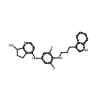 OC1CCc2c(Nc3cc(F)c(NCCCc4c[nH]c5ccccc45)c(F)c3)ccnc21